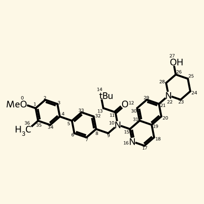 COc1ccc(-c2ccc(CN(C(=O)CC(C)(C)C)c3nccc4cc(N5CCCC(O)C5)ccc34)cc2)cc1C